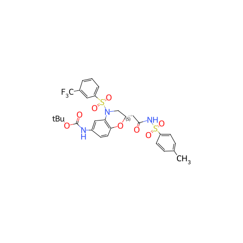 Cc1ccc(S(=O)(=O)NC(=O)C[C@H]2CN(S(=O)(=O)c3cccc(C(F)(F)F)c3)c3cc(NC(=O)OC(C)(C)C)ccc3O2)cc1